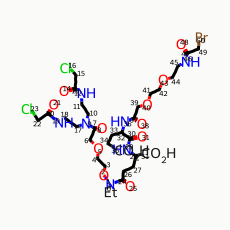 CCN(OCCOCC(=O)N(CCNC(=O)CCl)CCNC(=O)CCl)C(=O)CCC(NC(=O)C(CCC(=O)O)NC(=O)COCCOCCNC(=O)CBr)C(=O)O